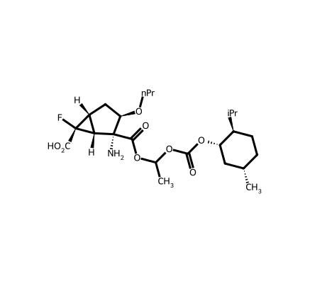 CCCO[C@@H]1C[C@@H]2[C@H]([C@]1(N)C(=O)OC(C)OC(=O)O[C@H]1C[C@@H](C)CC[C@@H]1C(C)C)[C@@]2(F)C(=O)O